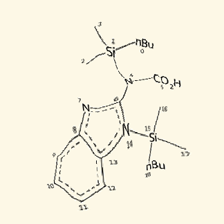 CCCC[Si](C)(C)N(C(=O)O)c1nc2ccccc2n1[Si](C)(C)CCCC